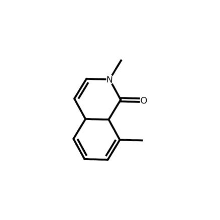 CC1=CC=CC2C=CN(C)C(=O)C12